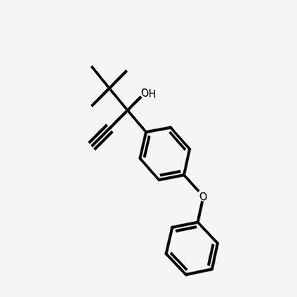 C#CC(O)(c1ccc(Oc2ccccc2)cc1)C(C)(C)C